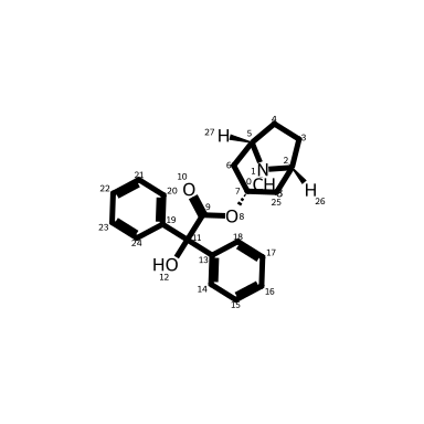 CN1[C@@H]2CC[C@H]1C[C@@H](OC(=O)C(O)(c1ccccc1)c1ccccc1)C2